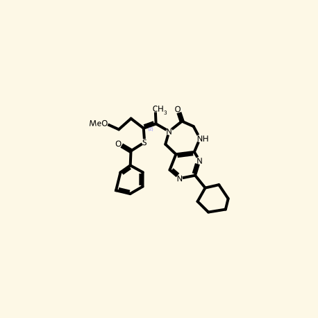 COCC/C(SC(=O)c1ccccc1)=C(\C)N1Cc2cnc(C3CCCCC3)nc2NCC1=O